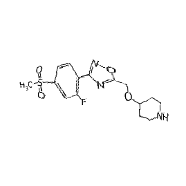 CS(=O)(=O)c1ccc(-c2noc(COC3CCNCC3)n2)c(F)c1